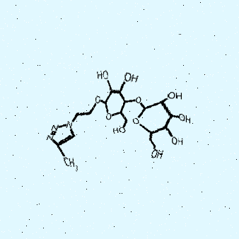 Cc1cn(CCOC2OC(CO)C(OC3OC(CO)C(O)C(O)C3O)C(O)C2O)nn1